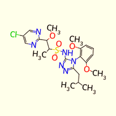 COc1cccc(OC)c1-n1c(CC(C)C)nnc1NS(=O)(=O)C(C)C(OC)c1ncc(Cl)cn1